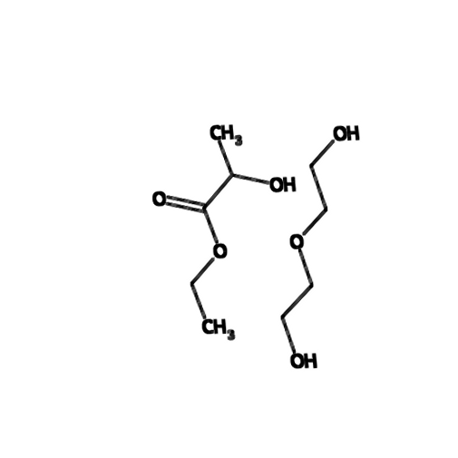 CCOC(=O)C(C)O.OCCOCCO